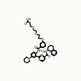 O=C(O)CCOCCOCCOc1cccc(C(=O)Nc2ccc(N3CCCCC3)cc2-c2nccc(C(=O)N[C@H]3CCCc4ccccc43)n2)c1